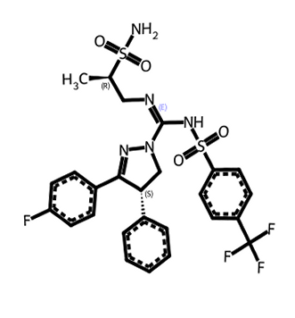 C[C@H](C/N=C(/NS(=O)(=O)c1ccc(C(F)(F)F)cc1)N1C[C@H](c2ccccc2)C(c2ccc(F)cc2)=N1)S(N)(=O)=O